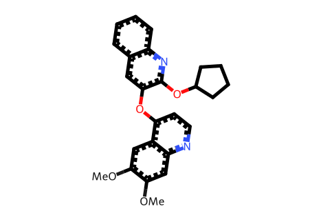 COc1cc2nccc(Oc3cc4ccccc4nc3OC3CCCC3)c2cc1OC